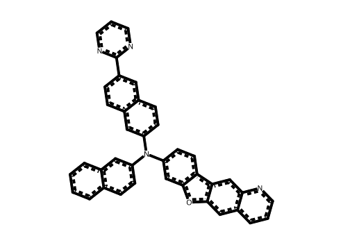 c1cnc(-c2ccc3cc(N(c4ccc5ccccc5c4)c4ccc5c(c4)oc4cc6cccnc6cc45)ccc3c2)nc1